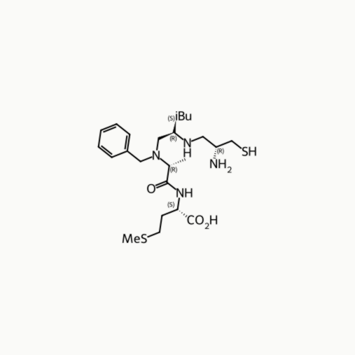 CC[C@H](C)[C@H](CN(Cc1ccccc1)[C@H](C)C(=O)N[C@@H](CCSC)C(=O)O)NC[C@@H](N)CS